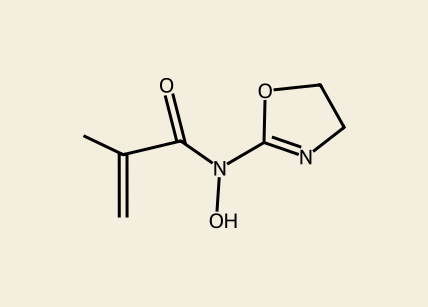 C=C(C)C(=O)N(O)C1=NCCO1